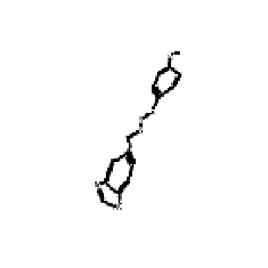 COc1ccc(SSSCc2ccc3scnc3c2)cc1